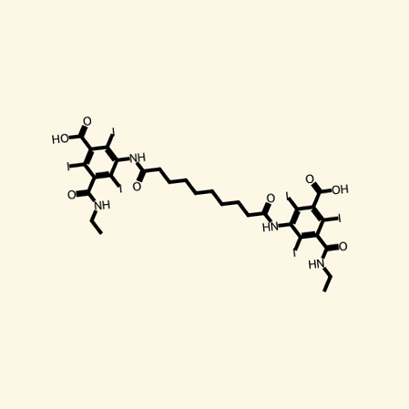 CCNC(=O)c1c(I)c(NC(=O)CCCCCCCCC(=O)Nc2c(I)c(C(=O)O)c(I)c(C(=O)NCC)c2I)c(I)c(C(=O)O)c1I